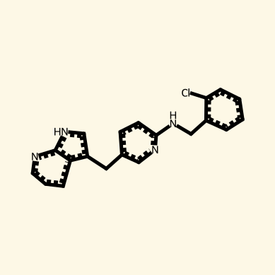 Clc1ccccc1CNc1ccc(Cc2c[nH]c3ncccc23)cn1